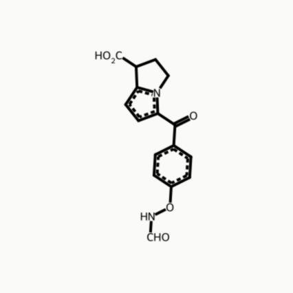 O=CNOc1ccc(C(=O)c2ccc3n2CCC3C(=O)O)cc1